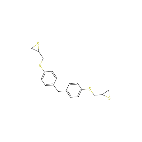 c1cc(SCC2CS2)ccc1Cc1ccc(SCC2CS2)cc1